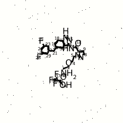 NCCOCCn1nccc1C(=O)Nc1n[nH]c2ccc(Cc3cc(F)cc(F)c3)cc12.O=C(O)C(F)(F)F